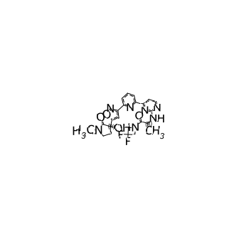 C[C@@H](Nc1nccc(-c2cccc(-c3cc([C@]4(O)CCN(C)C4=O)on3)n2)n1)C(=O)N1CC(F)(F)C1